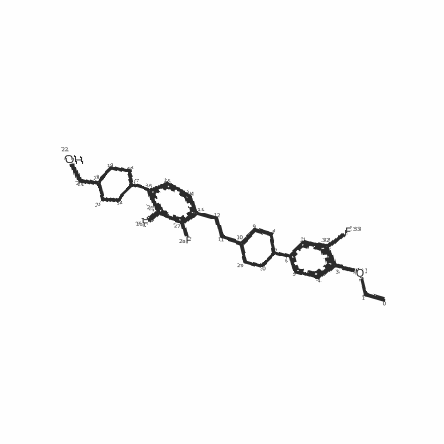 CCOc1ccc(C2CCC(CCc3ccc(C4CCC(CO)CC4)c(F)c3F)CC2)cc1F